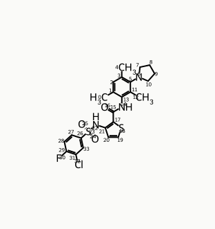 Cc1cc(C)c(N2CCCC2)c(C)c1NC(=O)c1sccc1NS(=O)(=O)c1ccc(F)c(Cl)c1